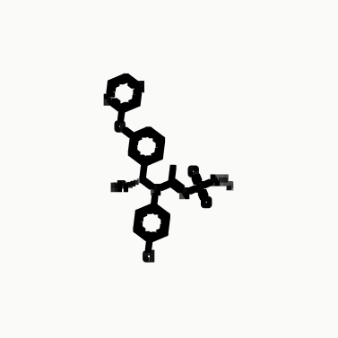 CCC[C@H](c1cccc(Oc2cnccn2)c1)N(/C(C)=N/S(N)(=O)=O)c1ccc(Cl)cc1